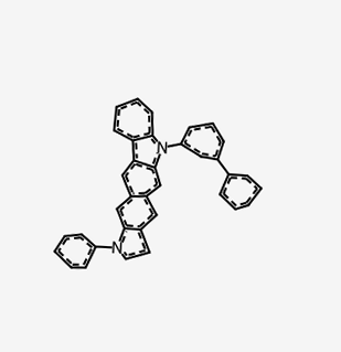 c1ccc(-c2cccc(-n3c4ccccc4c4cc5cc6c(ccn6-c6ccccc6)cc5cc43)c2)cc1